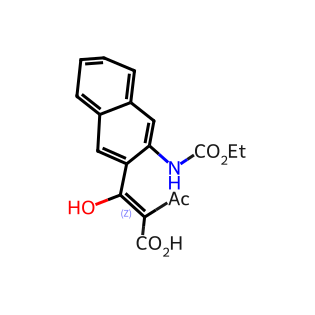 CCOC(=O)Nc1cc2ccccc2cc1/C(O)=C(\C(C)=O)C(=O)O